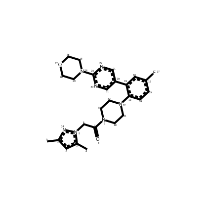 Cc1cc(C)n(CC(=O)N2CCN(c3ccc(F)cc3-c3cnc(N4CCOCC4)nc3)CC2)n1